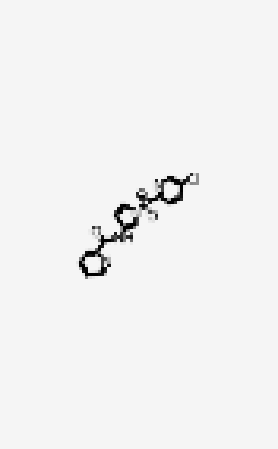 O=C(Nc1ccn(S(=O)(=O)c2ccc(Cl)cn2)c1)c1ccccn1